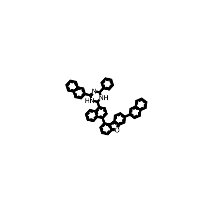 c1ccc(C2N=C(c3ccc4ccccc4c3)NC(c3ccc(-c4cccc5oc6cc(-c7ccc8ccccc8c7)ccc6c45)c4ccccc34)N2)cc1